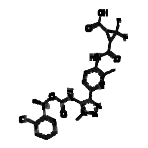 Cc1nc(-c2nnn(C)c2NC(=O)O[C@H](C)c2ccccc2Cl)ccc1NC(=O)C1C(C(=O)O)C1(F)F